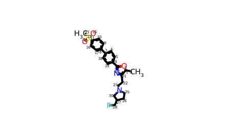 Cc1oc(-c2ccc(-c3ccc(S(C)(=O)=O)cc3)cc2)nc1CCN1CCC(CF)C1